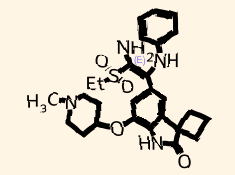 CCS(=O)(=O)/C(N)=C(/Nc1ccccc1)c1cc(OC2CCN(C)CC2)c2c(c1)C1(CCC1)C(=O)N2